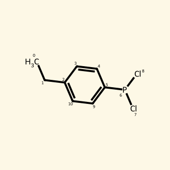 CCc1ccc(P(Cl)Cl)cc1